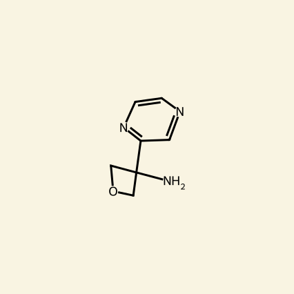 NC1(c2cnccn2)COC1